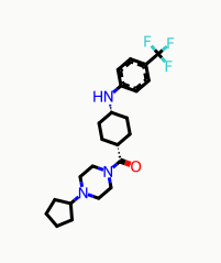 O=C([C@H]1CC[C@@H](Nc2ccc(C(F)(F)F)cc2)CC1)N1CCN(C2CCCC2)CC1